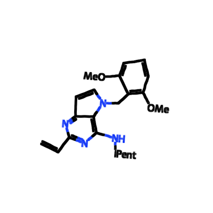 C=Cc1nc(NC(C)CCC)c2c(ccn2Cc2c(OC)cccc2OC)n1